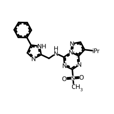 CC(C)c1cnn2c(NCc3ncc(-c4ccccc4)[nH]3)nc(S(C)(=O)=O)nc12